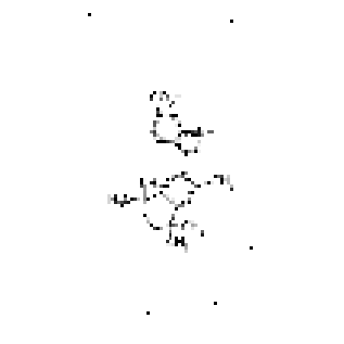 Cc1cc2c(cc1-c1c[nH]c3cc(C(=O)O)ccc13)C(C)(C)CCC2(C)C